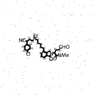 CCN(CCCCCc1cccc2c1CN(C(CCC=O)C(=O)NC)C2=O)CC[C@@H](C#N)c1ccc(Cl)cc1